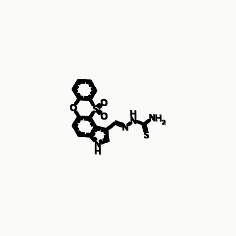 NC(=S)NN=Cc1c[nH]c2ccc3c(c12)S(=O)(=O)c1ccccc1O3